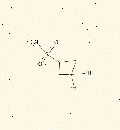 [2H]C1([2H])CC(S(N)(=O)=O)C1